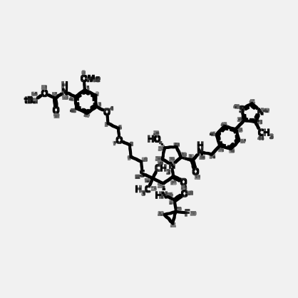 COc1cc(OCCOCCCSC(C)(C)[C@@H](NC(=O)C2(F)CC2)C(=O)N2C[C@H](O)C[C@H]2C(=O)NCc2ccc(-c3scnc3C)cc2)ccc1NC(=O)OC(C)(C)C